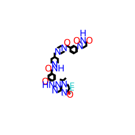 COc1cc(C(=O)NN2CCC(CN3CCN(C(=O)c4cccc(N5CCC(=O)NC5=O)c4)CC3)CC2)ccc1Nc1ncc2c(n1)N(C(C)C)CC(F)(F)C(=O)N2C